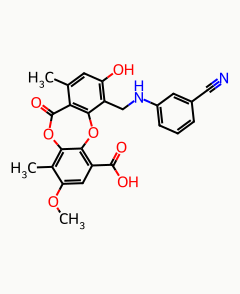 COc1cc(C(=O)O)c2c(c1C)OC(=O)c1c(C)cc(O)c(CNc3cccc(C#N)c3)c1O2